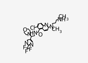 CNCCCN(C)c1ccc2c(C(=O)NCC(c3cnc(C(F)(F)F)nc3)N3CCOCC3)c(Cl)ccc2n1